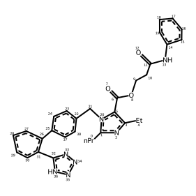 CCCc1nc(CC)c(C(=O)OCCC(=O)Nc2ccccc2)n1Cc1ccc(-c2ccccc2-c2nnn[nH]2)cc1